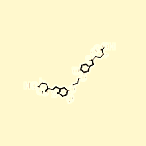 COc1cc2sc(C(=O)C[C@@H](C)C(=O)O)cc2cc1OCCCOc1cc2cc(C(=O)C[C@H](C)C(=O)O)sc2cc1OC